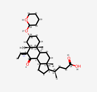 C/C=C1\C(=O)C2C3CCC([C@H](C)CCC(=O)O)[C@@]3(C)CCC2[C@@]2(C)CC[C@@H](OC3CCCCO3)C[C@@H]12